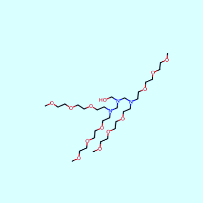 COCCOCCOCCN(CCOCCOCCOC)CN(CO)CN(CCOCCOCCOC)CCOCCOCCOC